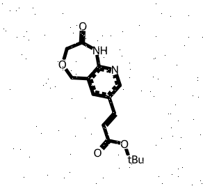 CC(C)(C)OC(=O)C=Cc1cnc2c(c1)COCC(=O)N2